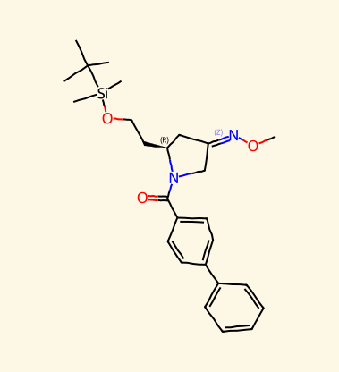 CO/N=C1/C[C@H](CCO[Si](C)(C)C(C)(C)C)N(C(=O)c2ccc(-c3ccccc3)cc2)C1